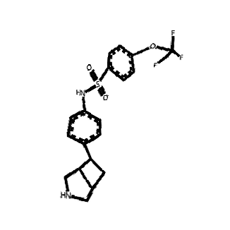 O=S(=O)(Nc1ccc(C2CC3CNCC32)cc1)c1ccc(OC(F)(F)F)cc1